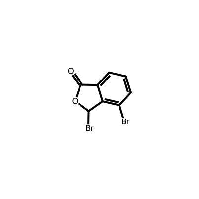 O=C1OC(Br)c2c(Br)cccc21